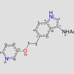 CC(=O)Nc1c[nH]c2ccc(CCOc3cccnc3)cc12